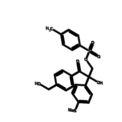 CSc1ccc(C(O)(COS(=O)(=O)c2ccc(C)cc2)C(=O)c2ccc(CO)cc2)cc1